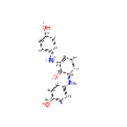 O=C1C(Nc2ccc(O)cc2)=CC=CC1=Nc1ccc(O)cc1